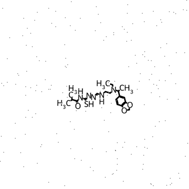 CCN(CCN/C=N/N=C(\S)NC(=O)C(C)C)C(C)c1ccc2c(c1)OCO2